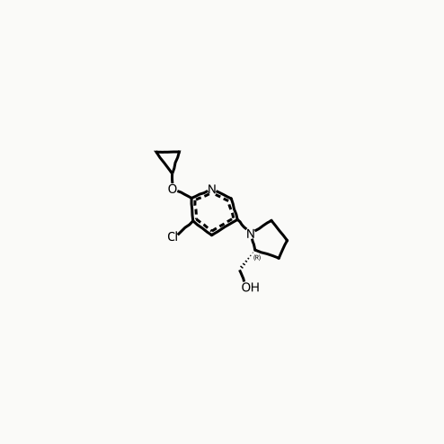 OC[C@H]1CCCN1c1cnc(OC2CC2)c(Cl)c1